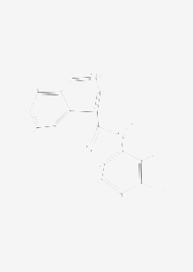 Cn1c(-c2cncc3ccccc23)nc2ccc(F)c(F)c21